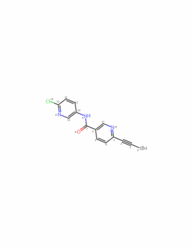 CC(C)(C)C#Cc1ccc(C(=O)Nc2ccc(Cl)nc2)cn1